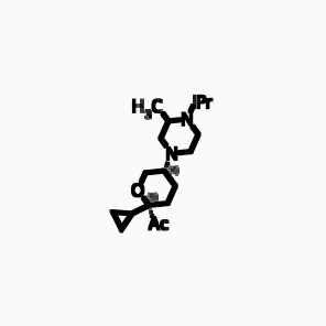 CC(=O)[C@@]1(C2CC2)CC[C@@H](N2CCN(C(C)C)C(C)C2)CO1